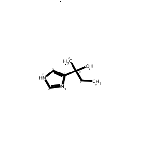 CCC(C)(O)c1c[nH]cn1